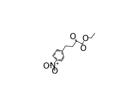 CCOC(=O)C(=O)CCc1ccc([N+](=O)[O-])cc1